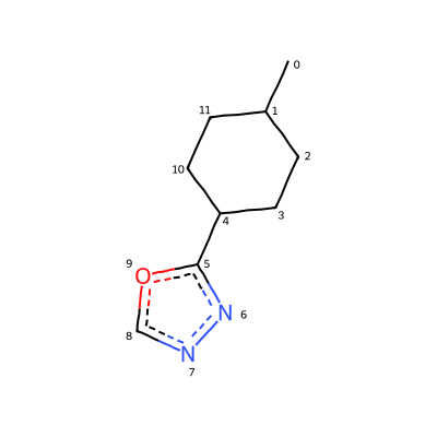 CC1CCC(c2nnco2)CC1